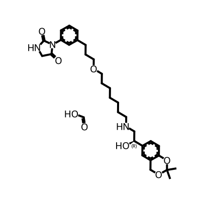 CC1(C)OCc2cc([C@@H](O)CNCCCCCCCOCCCc3cccc(N4C(=O)CNC4=O)c3)ccc2O1.O=CO